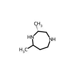 CC1CCNC[C@@H](C)N1